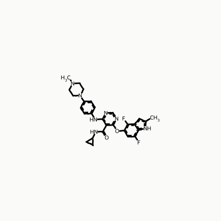 Cc1cc2c(F)c(Oc3ncnc(Nc4ccc(N5CCN(C)CC5)cc4)c3C(=O)NC3CC3)cc(F)c2[nH]1